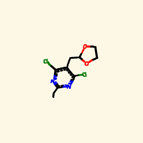 Cc1nc(Cl)c(CC2OCCO2)c(Cl)n1